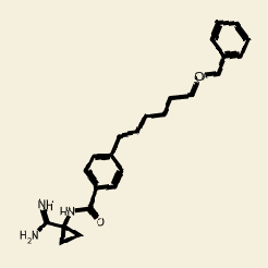 N=C(N)C1(NC(=O)c2ccc(CCCCCCOCc3ccccc3)cc2)CC1